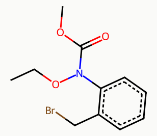 CCON(C(=O)OC)c1ccccc1CBr